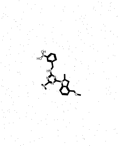 COCc1cccc2c1CC(C)N2c1nc(NCc2cccc(B(O)O)c2)nc(N(C)C)n1